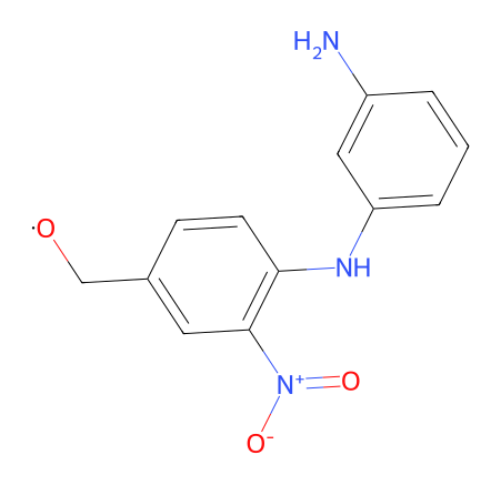 Nc1cccc(Nc2ccc(C[O])cc2[N+](=O)[O-])c1